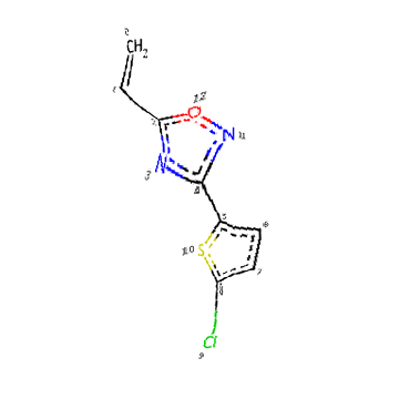 C=Cc1nc(-c2ccc(Cl)s2)no1